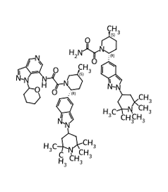 C[C@H]1CC[C@H](c2ccc3nn(C4CC(C)(C)N(C)C(C)(C)C4)cc3c2)N(C(=O)C(=O)Nc2cncc3cnn(C4CCCCO4)c23)C1.C[C@H]1CC[C@H](c2ccc3nn(C4CC(C)(C)N(C)C(C)(C)C4)cc3c2)N(C(=O)C(N)=O)C1